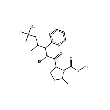 CCN(C(=O)C1CCC(C)N1C(=O)OC(C)(C)C)C(c1ncccn1)C(C)O[Si](C)(C)C(C)(C)C